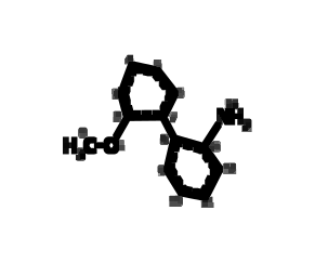 COc1[c]cccc1-c1ccccc1N